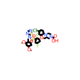 COc1ccc(CN(c2ncns2)S(=O)(=O)c2cc(F)cc(OCC3CN(C(=O)O)CCN3c3ccc(Cl)cc3)c2F)c(OC)c1